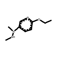 CCOc1ccc(N(C)NC)cn1